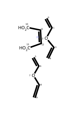 C=COC=C.C=COC=C.O=C(O)/C=C\C(=O)O